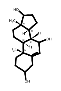 C[C@]12CCC(O)CC1=CC(O)[C@@H]1[C@@H]2CC[C@]2(C)C(O)CC[C@@H]12